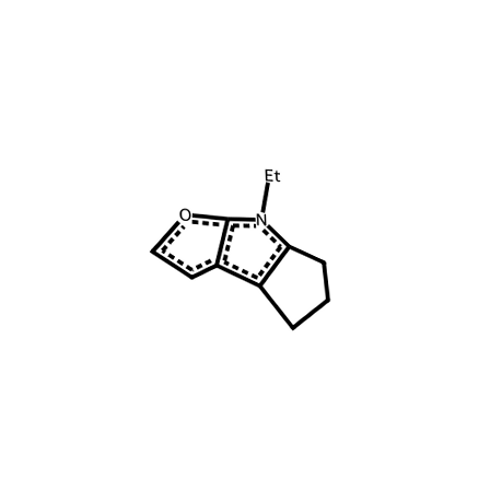 CCn1c2c(c3ccoc31)CCC2